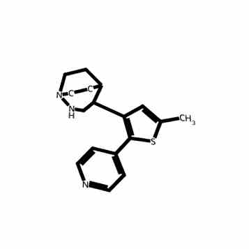 Cc1cc(C2CNN3CCC2CC3)c(-c2ccncc2)s1